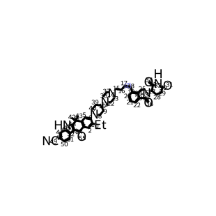 CCc1cc2c(cc1N1CCC(N3CCN(CC/C=C\c4cccc5c4CN(C4CCC(=O)NC4=O)C5=O)CC3)CC1)C(C)(C)c1[nH]c3cc(C#N)ccc3c1C2=O